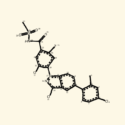 Cc1cc(Cl)ccc1-c1ccc2c(c1)c(Cl)nn2-c1cc(F)c(C(=O)NS(C)(=O)=O)cc1Cl